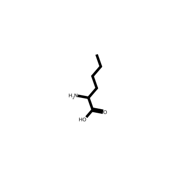 CCCC[C](N)C(=O)O